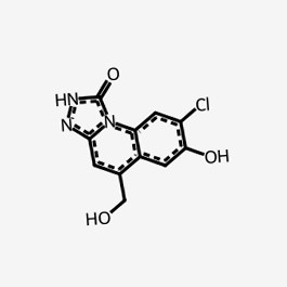 O=c1[nH]nc2cc(CO)c3cc(O)c(Cl)cc3n12